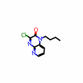 CCCCn1c(=O)c(Cl)nc2ncccc21